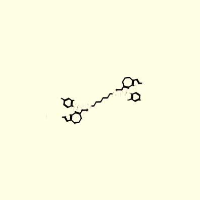 O=C(NCCCCCCNC(=O)c1nn(-c2ccc(Cl)cc2Cl)c2c1CCCc1cc(S(=O)(=O)O)sc1-2)c1nn(-c2ccc(Cl)cc2Cl)c2c1CCCc1cc(S(=O)(=O)O)sc1-2